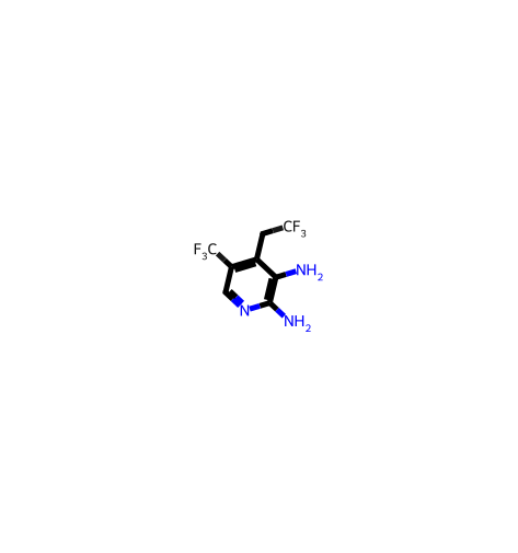 Nc1ncc(C(F)(F)F)c(CC(F)(F)F)c1N